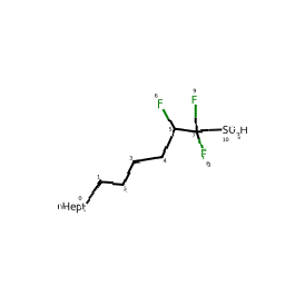 CCCCCCCCCCCC(F)C(F)(F)S(=O)(=O)O